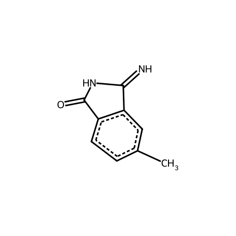 Cc1ccc2c(c1)C(=N)NC2=O